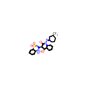 O=c1c(C2=NS(=O)(=O)c3ccccc3N2)c(O)c2ccccc2n1N=C1CCCC(C(F)(F)F)C1